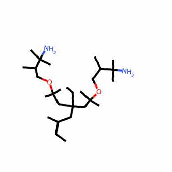 CCC(C)CC(CC)(CC(C)(C)OCC(C)C(C)(C)N)CC(C)(C)OCC(C)C(C)(C)N